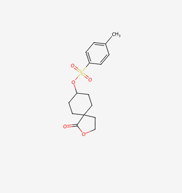 Cc1ccc(S(=O)(=O)OC2CCC3(CCOC3=O)CC2)cc1